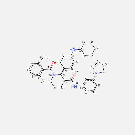 Cc1cccc(F)c1C(=O)N1CCCC(C(=O)Nc2cccc(N3CCCC3)c2)[C@@H]1C1C=CC(NC2CCCCC2)=CC1